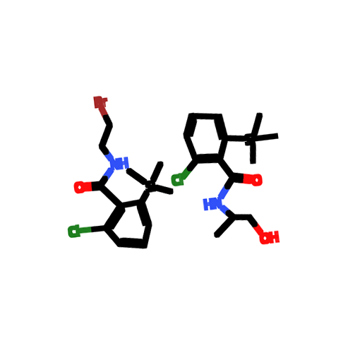 CC(CO)NC(=O)c1c(Cl)cccc1[Si](C)(C)C.C[Si](C)(C)c1cccc(Cl)c1C(=O)NCCBr